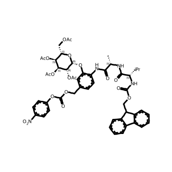 CC(=O)OC[C@@H]1O[C@H](Oc2cc(COC(=O)Oc3ccc([N+](=O)[O-])cc3)ccc2NC(=O)[C@H](C)NC(=O)[C@@H](NC(=O)OCC2c3ccccc3-c3ccccc32)C(C)C)[C@H](OC(C)=O)[C@@H](OC(C)=O)[C@H]1OC(C)=O